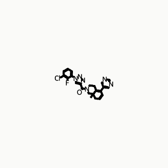 CC12CC=CC(c3cncnc3)=C1CCN(C(=O)c1cn(-c3cccc(Cl)c3F)nn1)C2